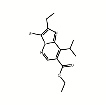 CCOC(=O)c1cnn2c(Br)c(CC)nc2c1C(C)C